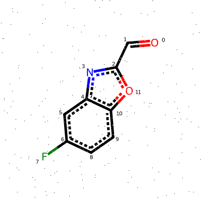 O=Cc1nc2cc(F)ccc2o1